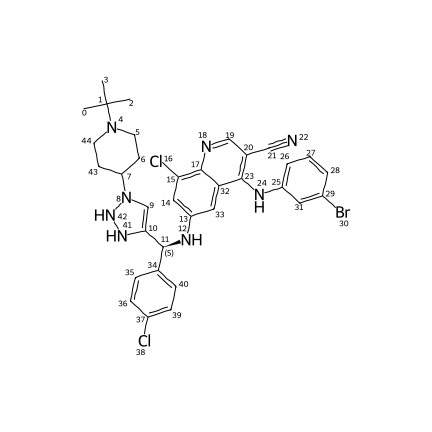 CC(C)(C)N1CCC(N2C=C([C@@H](Nc3cc(Cl)c4ncc(C#N)c(Nc5cccc(Br)c5)c4c3)c3ccc(Cl)cc3)NN2)CC1